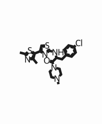 Cc1nc(C)c(-c2csc(NC(Cc3ccc(Cl)cc3)C(=O)N3CCN(C)CC3)n2)s1